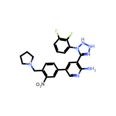 Nc1ncc(-c2ccc(CN3CCCC3)c([N+](=O)[O-])c2)cc1C1=NNNN1c1cccc(F)c1F